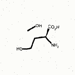 CO.N[C@@H](CCO)C(=O)O